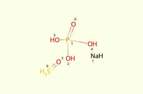 O=P(O)(O)O.O=[SH2].[NaH]